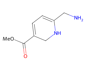 COC(=O)C1=CC=C(CN)NC1